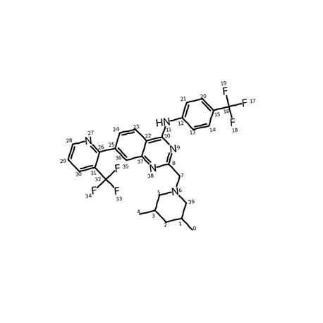 CC1CC(C)CN(Cc2nc(Nc3ccc(C(F)(F)F)cc3)c3ccc(-c4ncccc4C(F)(F)F)cc3n2)C1